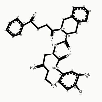 C=C(CCN)C[C@@H](NC(=O)[C@@H]1Cc2ccccc2CN1C(=O)CCC(=O)c1ccccc1)C(=O)Nc1ccc(Cl)c(C)c1